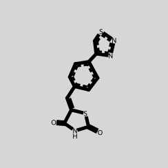 O=C1NC(=O)/C(=C/c2ccc(-c3csnn3)cc2)S1